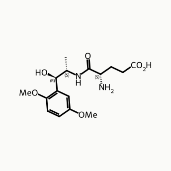 COc1ccc(OC)c([C@@H](O)[C@H](C)NC(=O)[C@@H](N)CCC(=O)O)c1